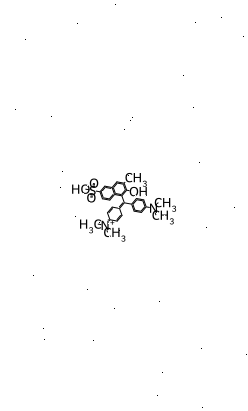 Cc1cc2cc(S(=O)(=O)O)ccc2c(C(=C2C=CC(=[N+](C)C)C=C2)c2ccc(N(C)C)cc2)c1O